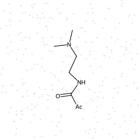 CC(=O)C(=O)NCCN(C)C